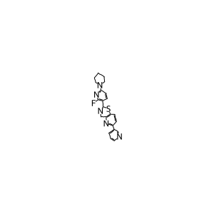 Fc1nc(N2CCCCC2)ccc1C1=NCc2nc(-c3cccnc3)ccc2S1